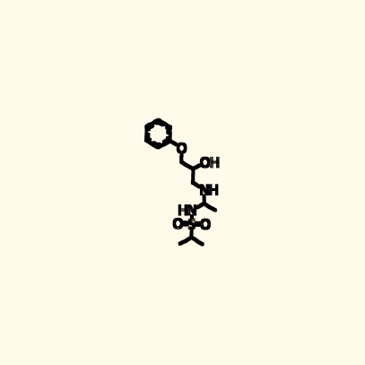 CC(NCC(O)COc1ccccc1)NS(=O)(=O)C(C)C